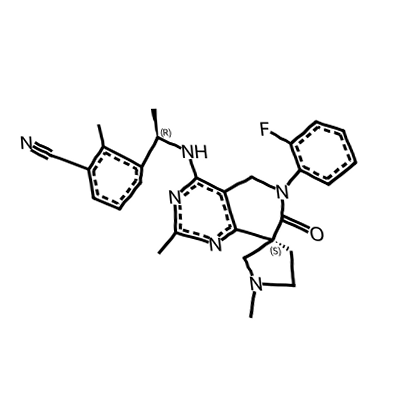 Cc1nc(N[C@H](C)c2cccc(C#N)c2C)c2c(n1)[C@@]1(CCN(C)C1)C(=O)N(c1ccccc1F)C2